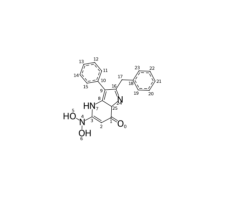 O=C1C=C(N(O)O)NC2=C(c3ccccc3)C(Cc3ccccc3)=NC12